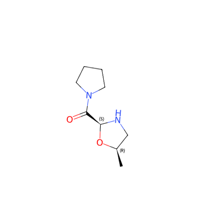 C[C@@H]1CN[C@H](C(=O)N2CCCC2)O1